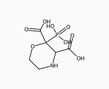 O=C(O)C1NCCOC1(C(=O)O)P(=O)(O)O